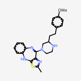 COc1ccc(CCC2CN(C3=Nc4ccccc4Nc4sc(C)nc43)CCN2)cc1